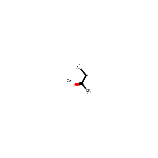 CC(=O)CC(=O)C(F)(F)F.[Co]